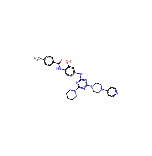 Cc1ccc(C(=O)Nc2ccc(Nc3nc(N4CCCCC4)nc(N4CCN(c5ccncc5)CC4)n3)cc2O)cc1